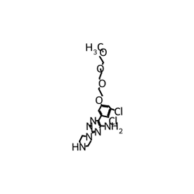 COCCOCCOCCOc1cc(Cl)c(Cl)c(-c2nnc(N3CCNCC3)nc2N)c1